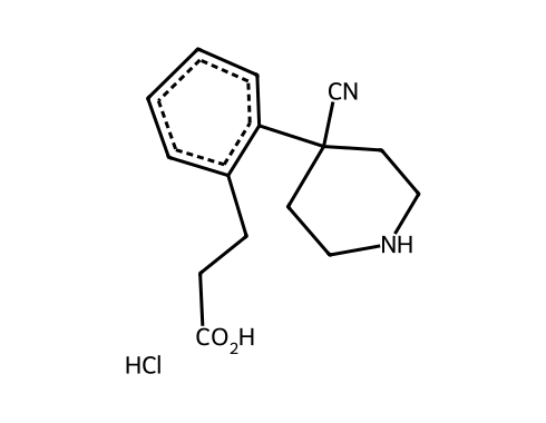 Cl.N#CC1(c2ccccc2CCC(=O)O)CCNCC1